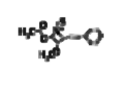 COC1C(OC(C)=O)=[N+](C=S)C1C#Cc1ccccc1